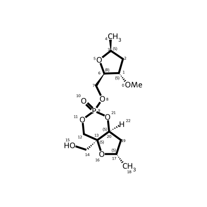 CO[C@H]1C[C@H](C)O[C@@H]1COP1(=O)OC[C@]2(CO)O[C@@H](C)C[C@@H]2O1